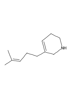 CC(C)=CCCC1=CCCNC1